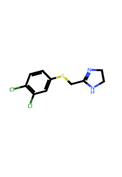 Clc1ccc(SCC2=NCCN2)cc1Cl